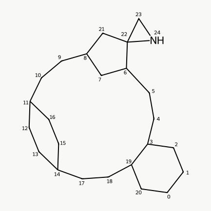 C1CCC2CCC3CC(CCC4CCC(CC4)CCC2C1)CC31CN1